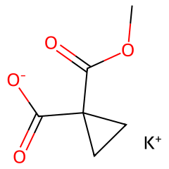 COC(=O)C1(C(=O)[O-])CC1.[K+]